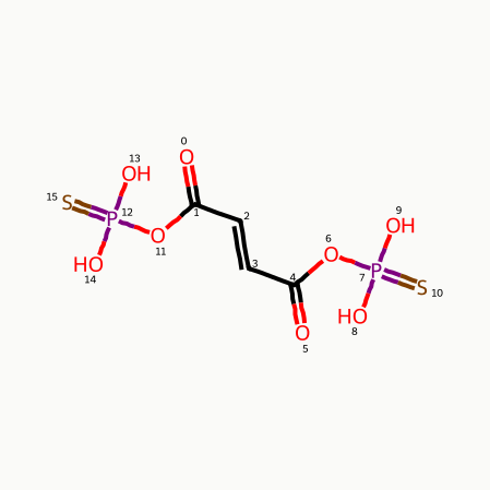 O=C(/C=C/C(=O)OP(O)(O)=S)OP(O)(O)=S